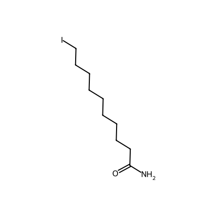 NC(=O)CCCCCCCCCI